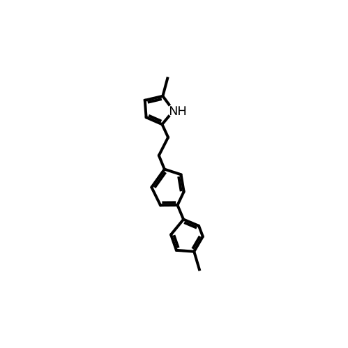 Cc1ccc(-c2ccc(CCc3ccc(C)[nH]3)cc2)cc1